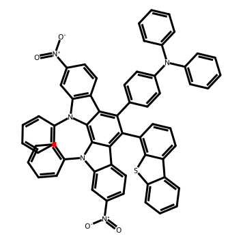 O=[N+]([O-])c1ccc2c3c(-c4ccc(N(c5ccccc5)c5ccccc5)cc4)c(-c4cccc5c4sc4ccccc45)c4c5ccc([N+](=O)[O-])cc5n(-c5ccccc5)c4c3n(-c3ccccc3)c2c1